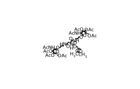 CC(=O)N[C@H]1[C@H](OCCCNC(=O)C[C@H](NC(=O)OC[C@H]2COC(C)(C)O2)C(=O)NCCCO[C@@H]2O[C@H](COC(C)=O)[C@H](OC(C)=O)[C@H](OC(C)=O)[C@H]2NC(C)=O)O[C@H](COC(C)=O)[C@H](OC(C)=O)[C@@H]1OC(C)=O